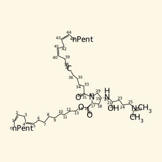 CCCCC/C=C\C/C=C\CCCCCCCCOC(=O)[C@@H]1C[C@@H](NC(O)CCCN(C)C)CN1C(=O)CCCCCCC/C=C\C/C=C\CCCCC